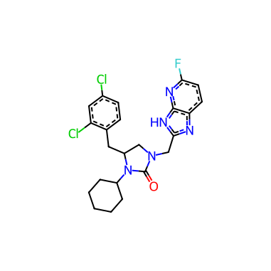 O=C1N(Cc2nc3ccc(F)nc3[nH]2)CC(Cc2ccc(Cl)cc2Cl)N1C1CCCCC1